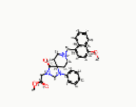 COC(=O)CN1CN(c2ccccc2)C2(CCN(Cc3ccc(OC)c4ccccc34)CC2)C1=O